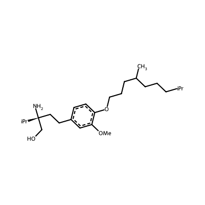 COc1cc(CC[C@@](N)(CO)C(C)C)ccc1OCCCC(C)CCCC(C)C